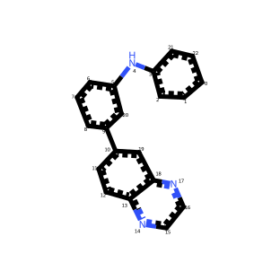 c1ccc(Nc2cccc(-c3ccc4nccnc4c3)c2)cc1